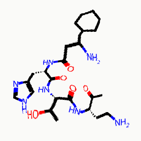 CC(=O)[C@H](CCN)NC(=O)[C@@H](NC(=O)[C@H](Cc1c[nH]cn1)NC(=O)CC(N)C1CCCCC1)C(C)O